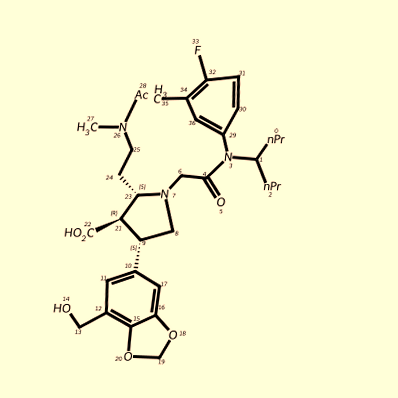 CCCC(CCC)N(C(=O)CN1C[C@H](c2cc(CO)c3c(c2)OCO3)[C@@H](C(=O)O)[C@@H]1CCN(C)C(C)=O)c1ccc(F)c(C)c1